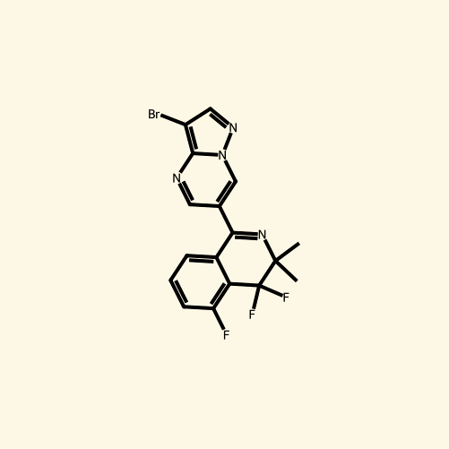 CC1(C)N=C(c2cnc3c(Br)cnn3c2)c2cccc(F)c2C1(F)F